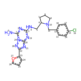 Nc1nc(NCC2CCCN2Cc2ccc(Cl)cc2)nc2nc(-c3ccco3)nn12